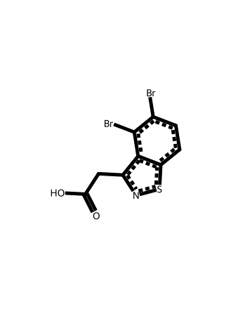 O=C(O)Cc1nsc2ccc(Br)c(Br)c12